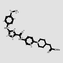 COC(=O)CC1CCN(c2ccc(NC(=O)c3nnc(Nc4ccc(OC(F)(F)F)cc4)o3)cn2)CC1